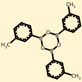 Cc1cccc(B2OB(c3cccc(C)c3)OB(c3cccc(C)c3)O2)c1